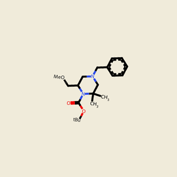 COCC1CN(Cc2ccccc2)CC(C)(C)N1C(=O)OC(C)(C)C